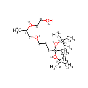 CC(COCCC[Si](C)(O[Si](C)(C)C)O[Si](C)(C)C)OCCO